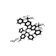 CC(C)(C)c1cc2c(cc1-c1ccccc1)[CH](/[Zr]([C]1=CC=CC1)=[C](\Cc1ccccc1)c1ccc(Cl)cc1)c1cc(-c3ccccc3)c(C(C)(C)C)cc1-2.Cl.Cl